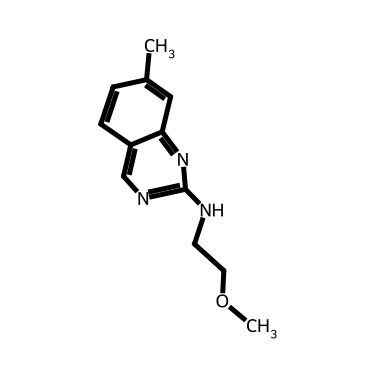 COCCNc1ncc2ccc(C)cc2n1